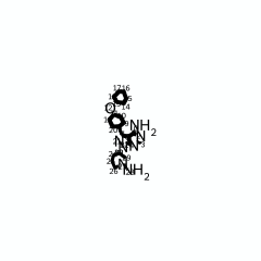 Nc1ncnc2c1c(-c1ccc(Oc3ccccc3)cc1)nn2[C@@H]1CCCN(N)C1